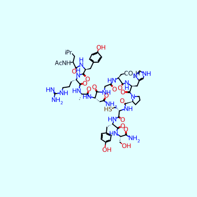 CC(=O)N[C@@H](CC(C)C)C(=O)N[C@@H](Cc1ccc(O)cc1)C(=O)N[C@@H](CCCNC(=N)N)C(=O)N[C@@H](C)C(=O)N[C@@H](CC(N)=O)C(=O)NCC(=O)N[C@@H](CC(=O)O)C(=O)N[C@@H](Cc1c[nH]cn1)C(=O)N1CCC[C@H]1C(=O)N[C@@H](CS)C(=O)N[C@@H](Cc1ccc(O)cc1)C(=O)N[C@@H](CO)C(N)=O